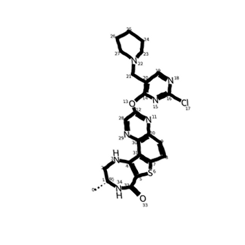 C[C@@H]1CNc2c(sc3ccc4nc(Oc5nc(Cl)ncc5CN5CCCCC5)cnc4c23)C(=O)N1